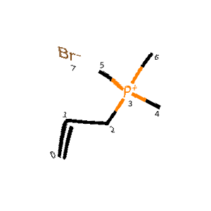 C=CC[P+](C)(C)C.[Br-]